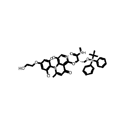 CNC(=O)[C@H](CO[Si](c1ccccc1)(c1ccccc1)C(C)(C)C)Oc1ncc(Cl)c2c1c(=O)cc(C)n2-c1c(Cl)cc(OCCO)cc1Cl